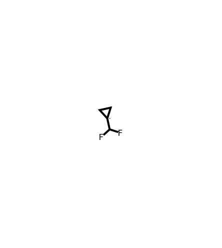 FC(F)[C]1CC1